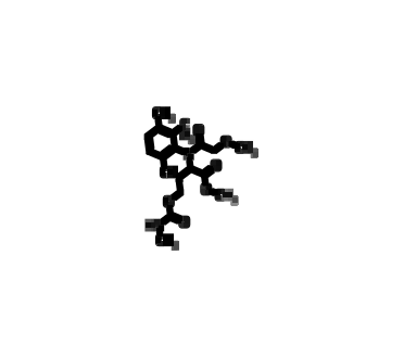 CNC(=O)OCCC(C(=O)OC)N(C(=O)COC)c1c(C)ccc(C)c1C